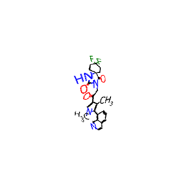 Cc1c(C(=O)CN2C(=O)NC3(CCC(F)(F)CC3)C2=O)cn(C)c1-c1cccc2ccncc12